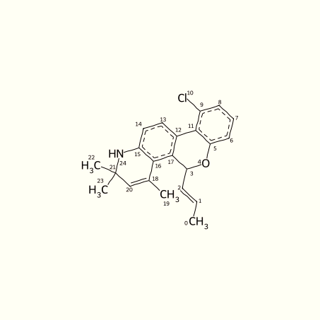 CC=CC1Oc2cccc(Cl)c2-c2ccc3c(c21)C(C)=CC(C)(C)N3